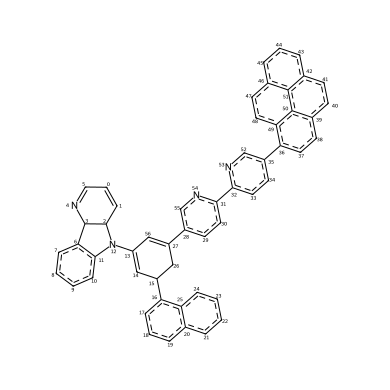 C1=CC2C(N=C1)c1ccccc1N2C1=CC(c2cccc3ccccc23)CC(c2ccc(-c3ccc(-c4ccc5ccc6cccc7ccc4c5c67)cn3)nc2)=C1